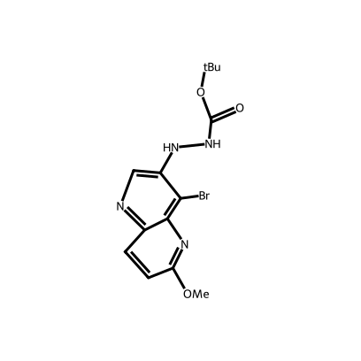 COc1ccc2ncc(NNC(=O)OC(C)(C)C)c(Br)c2n1